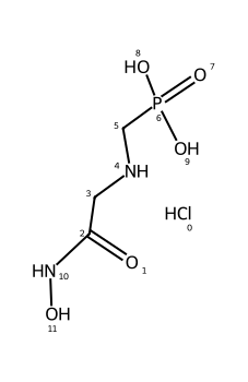 Cl.O=C(CNCP(=O)(O)O)NO